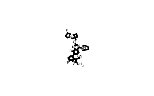 N#Cc1c(N)sc2c(F)ccc(-c3c(Cl)cc4c(N5CC6CCC(C5)N6)nc(OCC5(CN6CC[C@@H](F)C6)CCC5)nc4c3F)c12